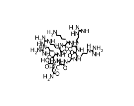 C[C@H](N)C(=O)NCC(=O)N[C@@H](CCCNC(=N)N)C(=O)N[C@@H](CCCNC(=N)N)C(=O)N[C@@H](CCCCN)C(=O)N[C@@H](CCCNC(=N)N)C(=O)N[C@@H](CCCNC(=N)N)C(=O)N[C@@H](CCC(N)=O)C(=O)O